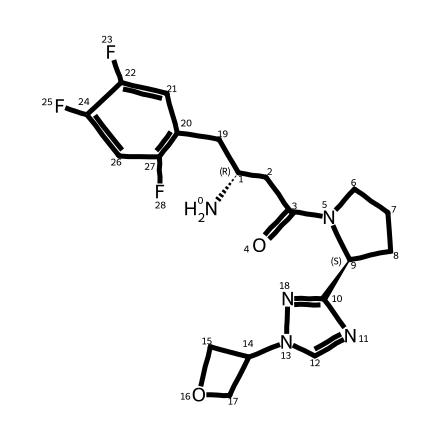 N[C@@H](CC(=O)N1CCC[C@H]1c1ncn(C2COC2)n1)Cc1cc(F)c(F)cc1F